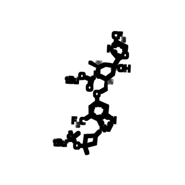 C[C@H]1C[C@](O)(c2nc(C(F)(F)F)co2)C[C@@H](COc2cc(C(F)(F)F)c3c(c2)ncn3C2CC(C)(O[Si](C)(C)C(C)(C)C)C2)N1C(=O)OC(C)(C)C